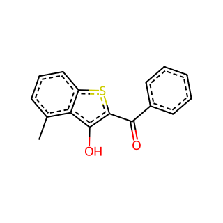 Cc1cccc2sc(C(=O)c3ccccc3)c(O)c12